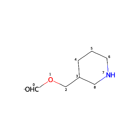 O=[C]OCC1CCCNC1